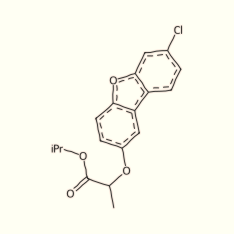 CC(C)OC(=O)C(C)Oc1ccc2oc3cc(Cl)ccc3c2c1